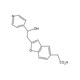 O=C(O)Cc1ccc2oc(CC(O)c3ccncc3)cc2c1